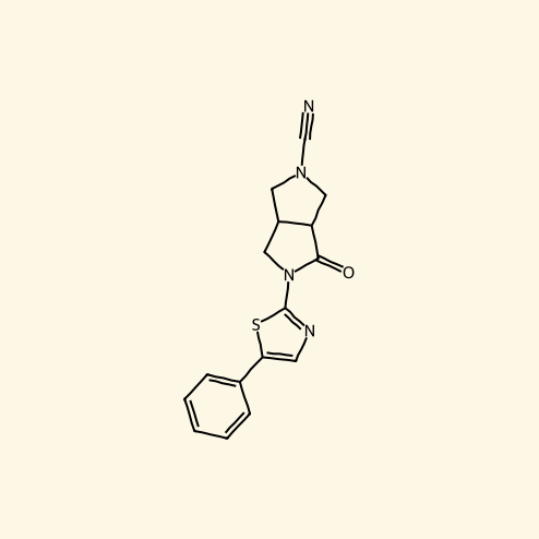 N#CN1CC2CN(c3ncc(-c4ccccc4)s3)C(=O)C2C1